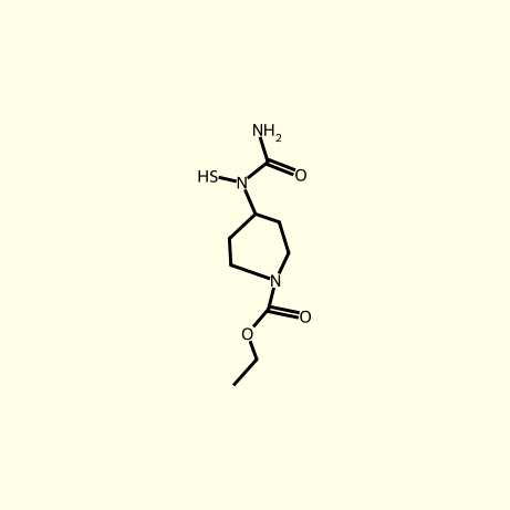 CCOC(=O)N1CCC(N(S)C(N)=O)CC1